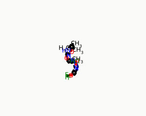 Cc1cc(C)c(C(=O)Nc2ccc(Oc3ccc4cc(C(=O)N5CCN(Cc6ccc(OCC(F)(F)F)cc6)CC5)n(C)c4c3)nc2)c(C)c1.Cl